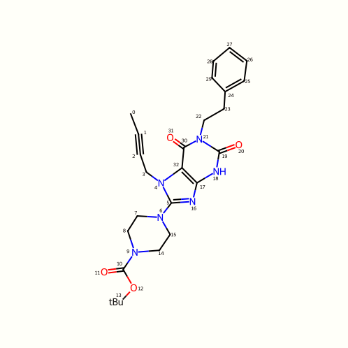 CC#CCn1c(N2CCN(C(=O)OC(C)(C)C)CC2)nc2[nH]c(=O)n(CCc3ccccc3)c(=O)c21